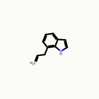 C=CCc1cccc2c[c][nH]c12